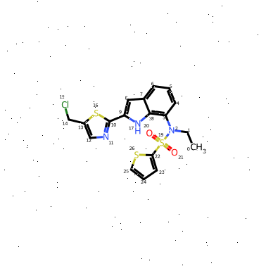 CCN(c1cccc2cc(-c3ncc(CCl)s3)[nH]c12)S(=O)(=O)c1cccs1